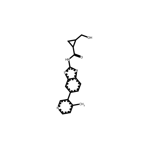 Cc1ccncc1-c1ccc2nc(NC(=O)C3CC3CO)sc2c1